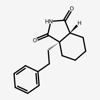 O=C1NC(=O)[C@]2(CCc3ccccc3)CCCC[C@@H]12